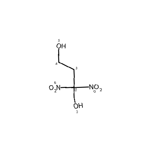 O=[N+]([O-])C(O)(CCO)[N+](=O)[O-]